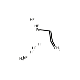 C=C=[CH][Fe].F.F.F.F.F.F.P